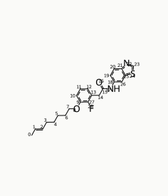 CC=CCCCCCOc1cccc(CC(=O)Nc2ccc3ncsc3c2)c1F